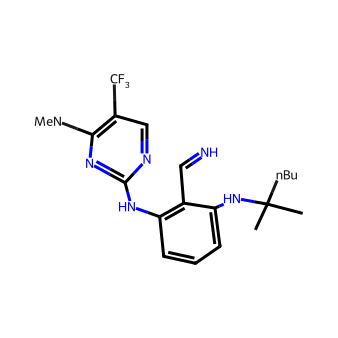 CCCCC(C)(C)Nc1cccc(Nc2ncc(C(F)(F)F)c(NC)n2)c1C=N